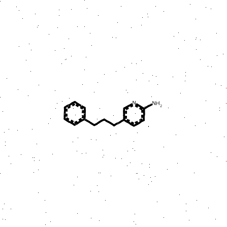 Nc1ccc(CCCc2ccccc2)cn1